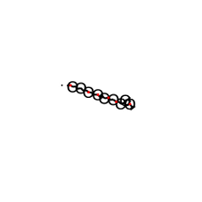 [CH2]COCCOCCOCCOCCOCCOCCOC(COC(C)C)OC(C)C